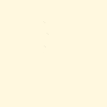 COc1ccc(CCC(=O)N2CCN(c3nccs3)CC2)cc1